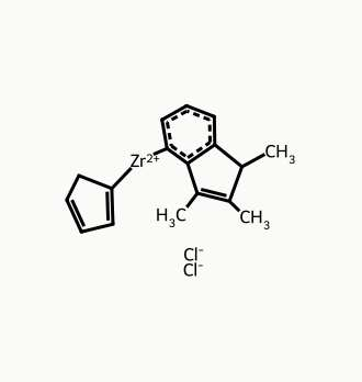 CC1=C(C)C(C)c2ccc[c]([Zr+2][C]3=CC=CC3)c21.[Cl-].[Cl-]